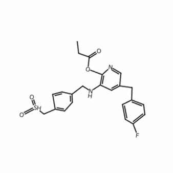 CCC(=O)Oc1ncc(Cc2ccc(F)cc2)cc1NCc1ccc(C[SH](=O)=O)cc1